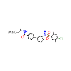 COCC(C)NC(=O)c1ccc(-c2cccc(NS(=O)(=O)c3cc(C)c(Cl)cc3C)c2)cc1